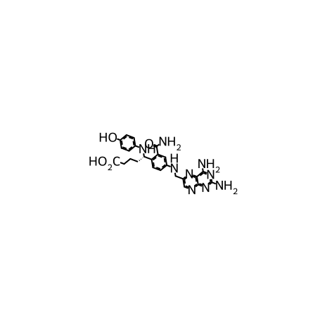 NC(=O)c1cc(NCc2cnc3nc(N)nc(N)c3n2)ccc1[C@H](CCCC(=O)O)Nc1ccc(O)cc1